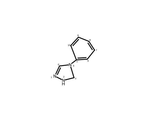 C1=NNCN1c1ccccc1